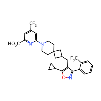 O=C(O)c1cc(C(F)(F)F)cc(N2CCC3(CC2)CC(Cc2c(-c4ccccc4C(F)(F)F)noc2C2CC2)C3)n1